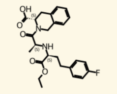 CCOC(=O)[C@H](CCc1ccc(F)cc1)N[C@@H](C)C(=O)N1Cc2ccccc2C[C@H]1C(=O)O